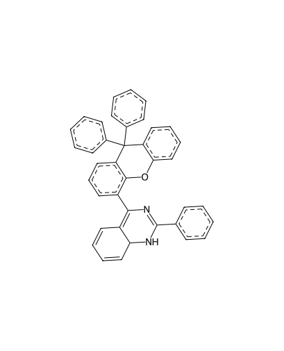 C1=CC2=C(c3cccc4c3Oc3ccccc3C4(c3ccccc3)c3ccccc3)N=C(c3ccccc3)NC2C=C1